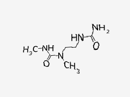 CNC(=O)N(C)CCNC(N)=O